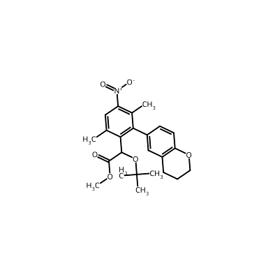 COC(=O)C(OC(C)(C)C)c1c(C)cc([N+](=O)[O-])c(C)c1-c1ccc2c(c1)CCCO2